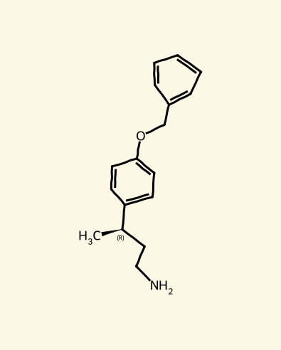 C[C@H](CCN)c1ccc(OCc2ccccc2)cc1